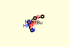 CC(C)C[C@H](NC(=O)Cc1cccnc1)C(=O)N[C@@H](Cc1ccc(OCc2ccccc2)cc1)C(=O)OC(C)(C)C